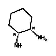 [NH][C@@H]1CCCC[C@@H]1N